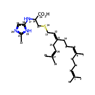 CC(C)=CCCC(C)=CCCC(=CCSCC(Nc1cnc(C)[nH]1)C(=O)O)CC=C(C)C